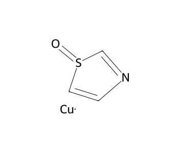 O=S1C=CN=C1.[Cu]